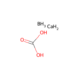 B.O=C(O)O.[CaH2]